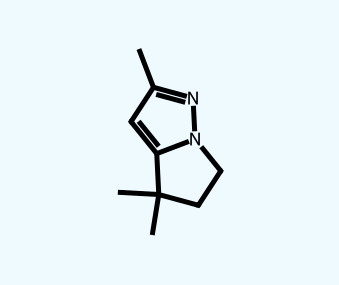 Cc1cc2n(n1)CCC2(C)C